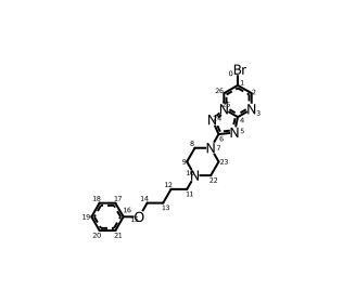 Brc1cnc2nc(N3CCN(CCCCOc4ccccc4)CC3)nn2c1